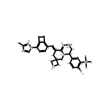 Cc1ncn(-c2ccc(/C=C3\CC4(COC4)CN4C3=NNCC4c3ccc(F)c([Si](C)(C)C)c3)c3c2CC3)n1